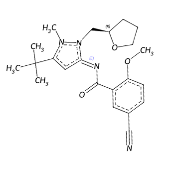 COc1ccc(C#N)cc1C(=O)/N=c1\cc(C(C)(C)C)n(C)n1C[C@H]1CCCO1